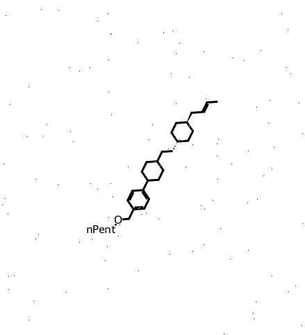 C/C=C/C[C@H]1CC[C@H](CCC2CCC(c3ccc(COCCCCC)cc3)CC2)CC1